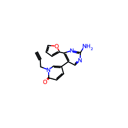 C#CCn1cc(-c2cnc(N)nc2-c2ccco2)ccc1=O